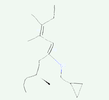 CC/C(C)=C(C)\C=C(/C[C@@H](C)CC)NCC1CC1